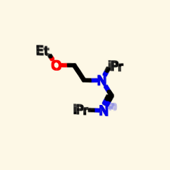 CCOCCN(/C=N\C(C)C)C(C)C